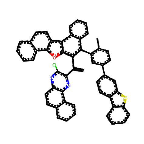 C=C(c1nc2c(ccc3ccccc32)nc1Cl)c1c(-c2cc(-c3ccc4c(c3)sc3ccccc34)ccc2C)c2ccccc2c2c1oc1c3ccccc3ccc12